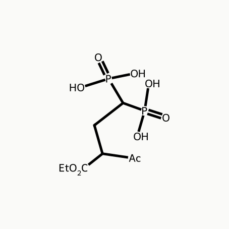 CCOC(=O)C(CC(P(=O)(O)O)P(=O)(O)O)C(C)=O